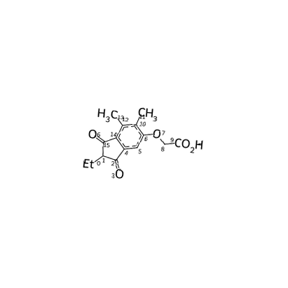 CCC1C(=O)c2cc(OCC(=O)O)c(C)c(C)c2C1=O